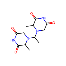 CC1C(=O)NC(=O)CN1C(C)N1CC(=O)NC(=O)C1C